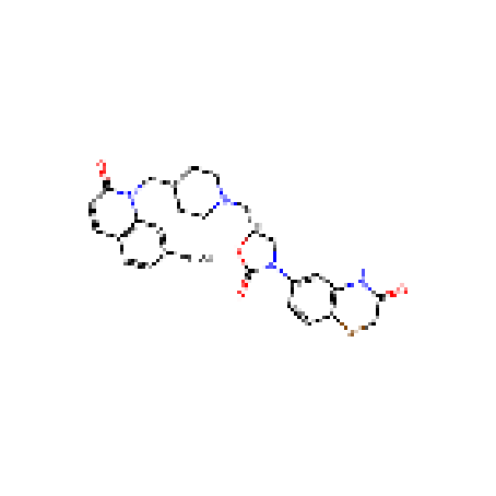 COc1ccc2ccc(=O)n(CC3CCN(C[C@@H]4CN(c5ccc6c(c5)NC(=O)CS6)C(=O)O4)CC3)c2c1